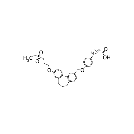 CCS(=O)(=O)CCCOc1ccc2c(c1)CCCc1ccc(COc3ccc([C@H]4C[C@@H]4C(=O)O)cc3)cc1-2